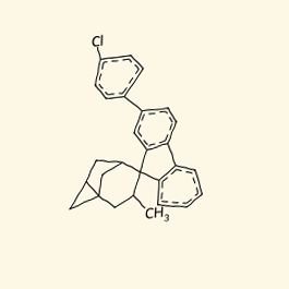 CC1CC23CC2CC(C3)C12c1ccccc1-c1ccc(-c3ccc(Cl)cc3)cc12